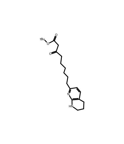 CC(C)(C)OC(=O)CC(=O)CCCCCCc1ccc2c(n1)NCCC2